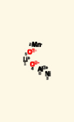 [Al+3].[Li+].[Mn].[Ni].[O-2].[O-2]